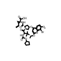 C=CC1C[C@]1(NC(=O)[C@@H]1C[C@H](Oc2cc(OCC)nc3c(Br)c(OC)ccc23)CN1C(=O)C(NC(=O)OC1CCCC1)C(C)(C)C)C(=O)O